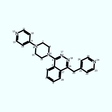 c1ccc2c(N3CCN(c4ccncc4)CC3)nnc(Cc3ccncc3)c2c1